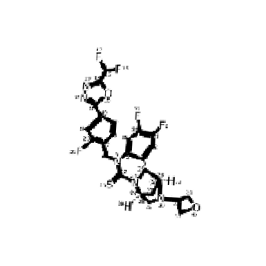 Fc1ccc(N(Cc2ccc(-c3nnc(C(F)F)o3)cc2F)C(=S)N2C[C@@H]3C[C@H]2CN3C2COC2)cc1F